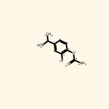 CC(N)c1ccc(OC(N)=O)c(F)c1